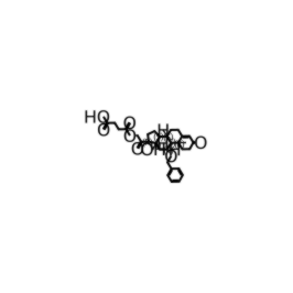 C[C@]12CCC(=O)C=C1CC[C@@H]1[C@@H]2[C@H](OCc2ccccc2)C[C@@]2(C)[C@H]1CC[C@]2(O)C(=O)COC(=O)CCC(=O)O